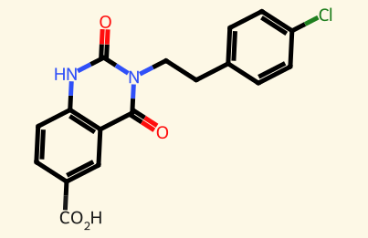 O=C(O)c1ccc2[nH]c(=O)n(CCc3ccc(Cl)cc3)c(=O)c2c1